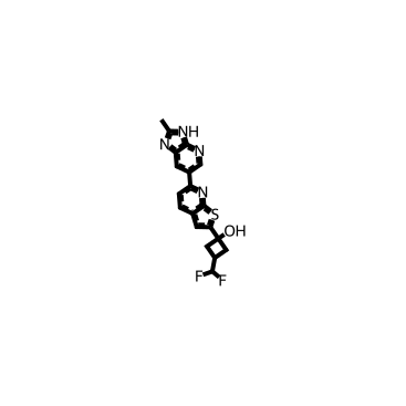 Cc1nc2cc(-c3ccc4cc(C5(O)CC(C(F)F)C5)sc4n3)cnc2[nH]1